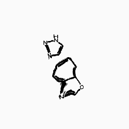 c1c[nH]nn1.c1ccc2ocnc2c1